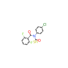 O=C(S)N(C(=O)c1c(F)cccc1F)c1ccc(Cl)cc1